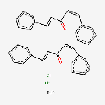 O=C(/C=C\c1ccccc1)/C=C/c1ccccc1.O=C(/C=C\c1ccccc1)/C=C/c1ccccc1.[Cl-].[Cl-].[Pd+2]